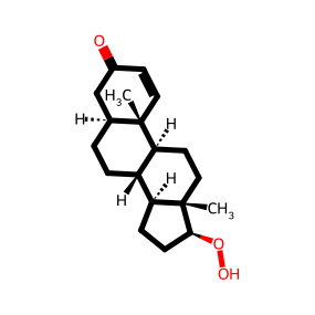 C[C@]12C=CC(=O)C[C@@H]1CC[C@@H]1[C@@H]2CC[C@]2(C)[C@@H](OO)CC[C@@H]12